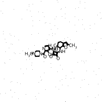 Cc1cc2c(o1)C(Nc1c(Nc3ccnc(C(=O)N4CCN(C)CC4)c3O)c(=O)c1=O)C(C)(C)CC2